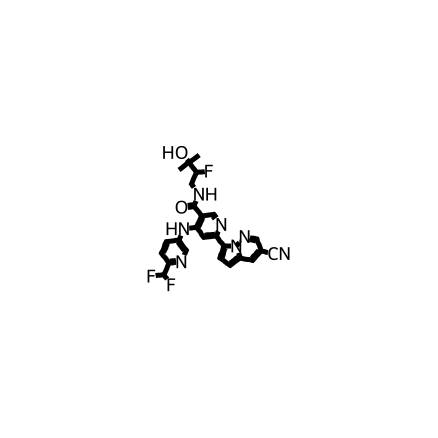 CC(C)(O)C(F)CNC(=O)c1cnc(-c2ccc3cc(C#N)cnn23)cc1Nc1ccc(C(F)F)nc1